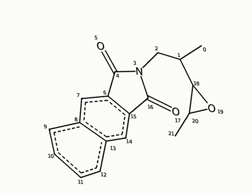 CC(CN1C(=O)c2cc3ccccc3cc2C1=O)C1OC1C